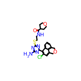 Nc1nc(SCCNC(=O)C2CCOCC2)nc(-c2c(Cl)cc3c4c(cccc24)COC3)n1